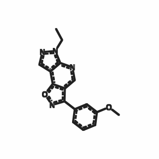 CCn1ncc2c3onc(-c4cccc(OC)c4)c3cnc21